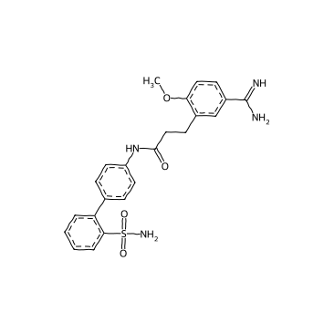 COc1ccc(C(=N)N)cc1CCC(=O)Nc1ccc(-c2ccccc2S(N)(=O)=O)cc1